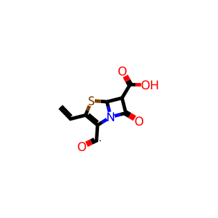 C=CC1=C([C]=O)N2C(=O)C(C(=O)O)C2S1